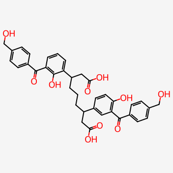 O=C(O)CC(CCCC(CC(=O)O)c1cccc(C(=O)c2ccc(CO)cc2)c1O)c1ccc(O)c(C(=O)c2ccc(CO)cc2)c1